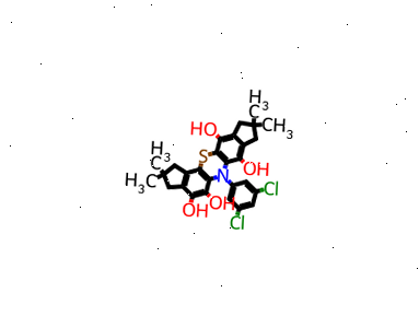 CC1(C)Cc2c(O)c3c(c(O)c2C1)N(c1cc(Cl)cc(Cl)c1)c1c(O)c(O)c2c(c1S3)CC(C)(C)C2